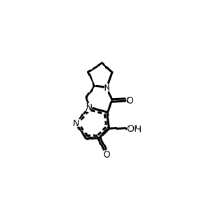 O=C1c2c(O)c(=O)cnn2CC2CCCN12